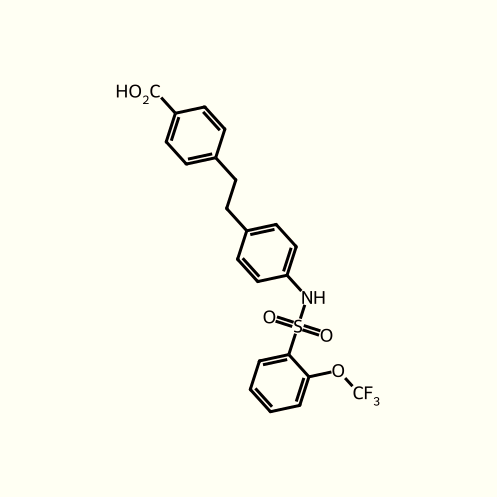 O=C(O)c1ccc(CCc2ccc(NS(=O)(=O)c3ccccc3OC(F)(F)F)cc2)cc1